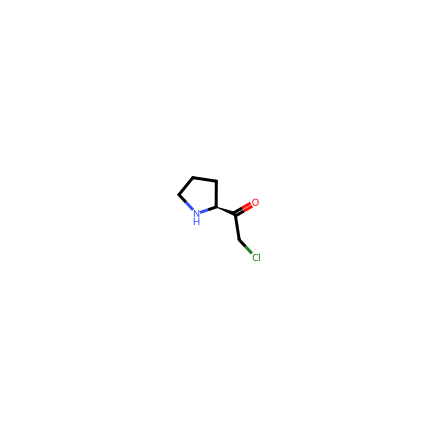 O=C(CCl)[C@@H]1CCCN1